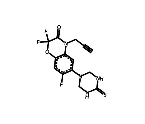 C#CCN1C(=O)C(F)(F)Oc2cc(F)c(N3CNC(=S)NC3)cc21